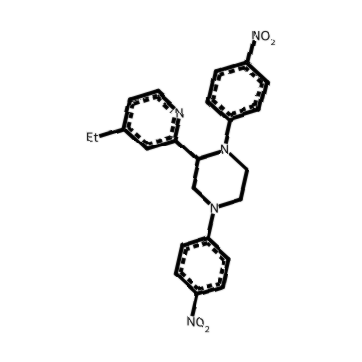 CCc1ccnc(C2CN(c3ccc([N+](=O)[O-])cc3)CCN2c2ccc([N+](=O)[O-])cc2)c1